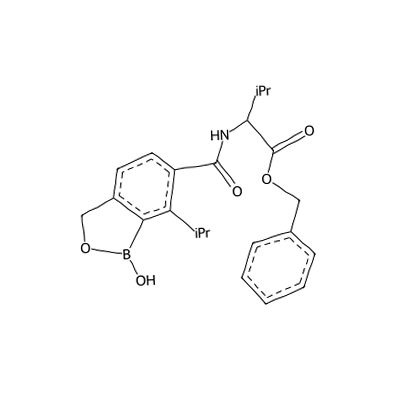 CC(C)c1c(C(=O)NC(C(=O)OCc2ccccc2)C(C)C)ccc2c1B(O)OC2